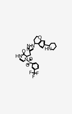 O=C1NC=CN(S(=O)(=O)c2cccc(C(F)(F)F)c2)C1Cc1cn(C2CCOc3cc(C4CCCCN4)ccc32)nn1